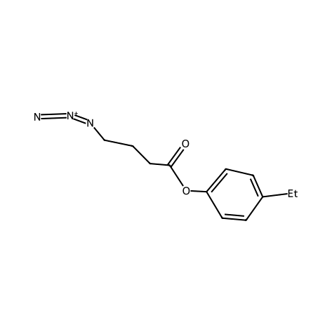 CCc1ccc(OC(=O)CCCN=[N+]=[N-])cc1